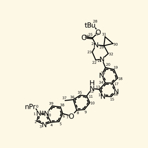 CCC[n+]1cnc2cc(Oc3ccc(Nc4ncnc5ccc(N6CCN(C(=O)OC(C)(C)C)C7(CC7)C6)nc45)cc3C)ccn21